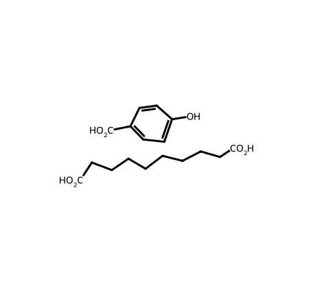 O=C(O)CCCCCCCCC(=O)O.O=C(O)c1ccc(O)cc1